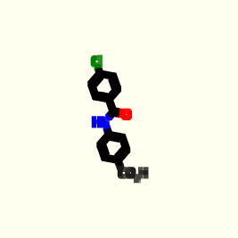 O=C(O)c1ccc(NC(=O)c2ccc(Cl)cc2)cc1